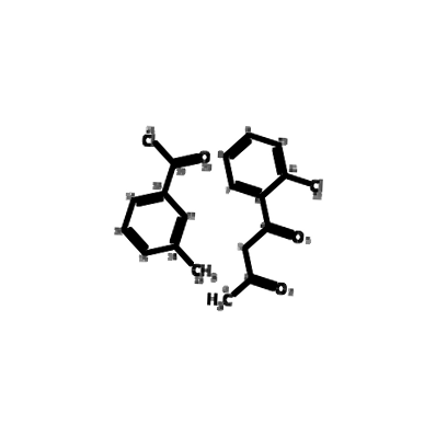 CC(=O)CC(=O)c1ccccc1Cl.Cc1cccc(C(=O)Cl)c1